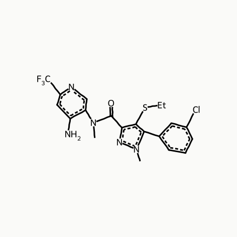 CCSc1c(C(=O)N(C)c2cnc(C(F)(F)F)cc2N)nn(C)c1-c1cccc(Cl)c1